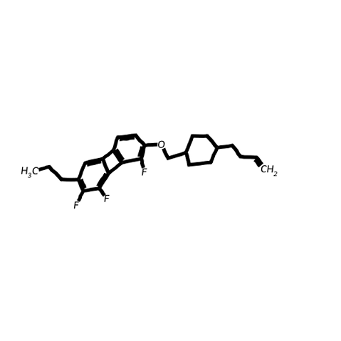 C=CCCC1CCC(COc2ccc3c(c2F)-c2c-3cc(CCC)c(F)c2F)CC1